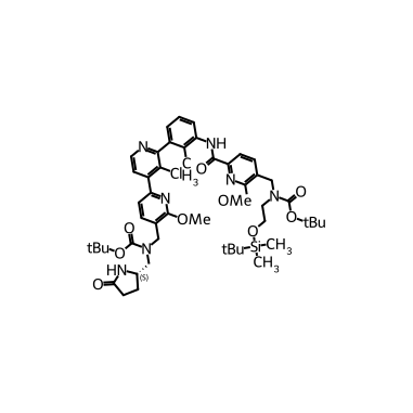 COc1nc(C(=O)Nc2cccc(-c3nccc(-c4ccc(CN(C[C@@H]5CCC(=O)N5)C(=O)OC(C)(C)C)c(OC)n4)c3Cl)c2C)ccc1CN(CCO[Si](C)(C)C(C)(C)C)C(=O)OC(C)(C)C